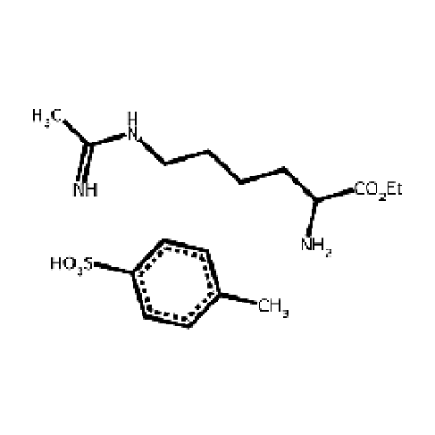 CCOC(=O)C(N)CCCCNC(C)=N.Cc1ccc(S(=O)(=O)O)cc1